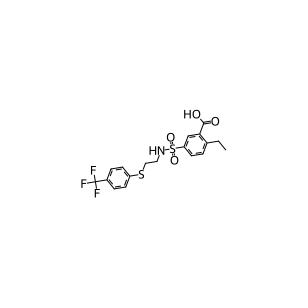 CCc1ccc(S(=O)(=O)NCCSc2ccc(C(F)(F)F)cc2)cc1C(=O)O